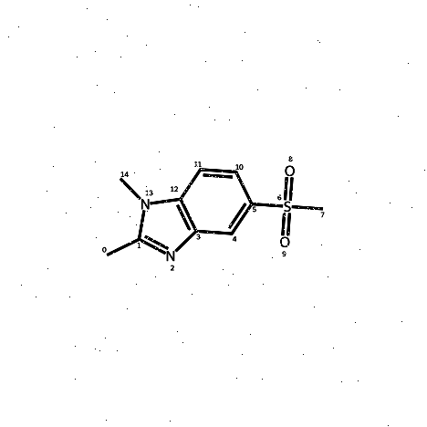 Cc1nc2cc(S(C)(=O)=O)ccc2n1C